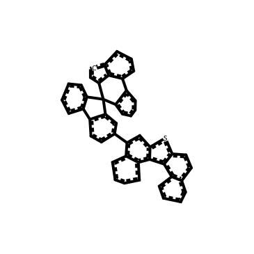 c1ccc2c(c1)-c1ccc(-c3cc4sc5ccc6ccccc6c5c4c4ccccc34)cc1C21c2ccccc2-c2cccc3cccc1c23